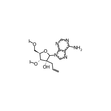 C=CC[C@]1(O)C(n2cnc3c(N)ncnc32)O[C@H](COI)[C@H]1OI